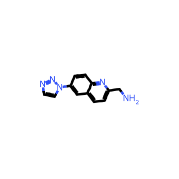 NCc1ccc2cc(-n3ccnn3)ccc2n1